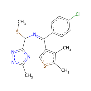 CSC1N=C(c2ccc(Cl)cc2)c2c(sc(C)c2C)-n2c(C)nnc21